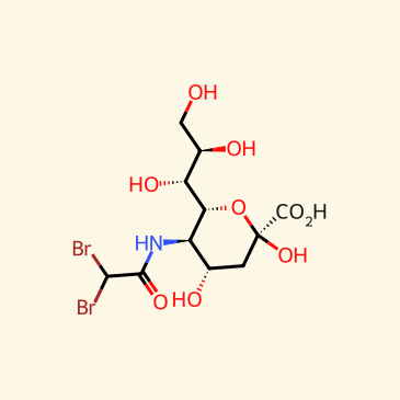 O=C(N[C@H]1[C@H]([C@H](O)[C@H](O)CO)O[C@](O)(C(=O)O)C[C@@H]1O)C(Br)Br